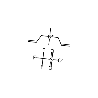 C=CC[N+](C)(C)CC=C.O=S(=O)([O-])C(F)(F)F